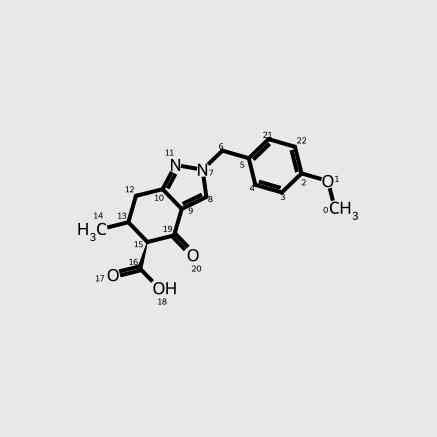 COc1ccc(Cn2cc3c(n2)CC(C)[C@H](C(=O)O)C3=O)cc1